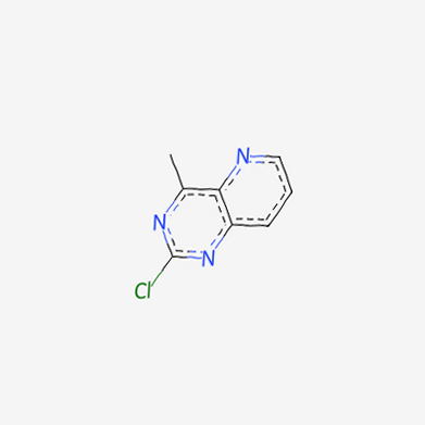 Cc1nc(Cl)nc2cccnc12